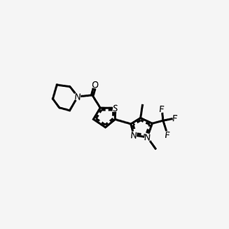 Cc1c(-c2ccc(C(=O)N3CCCCC3)s2)nn(C)c1C(F)(F)F